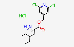 CCC(CC)C[C@H](N)C(=O)OCc1cc(Cl)nc(Cl)c1.Cl